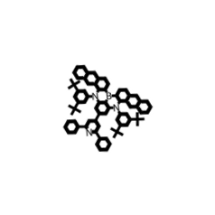 CC(C)(C)c1cc(N2c3cc(-c4cc(-c5ccccc5)nc(-c5ccccc5)c4)cc4c3B(c3ccc5cc6ccccc6cc5c32)c2ccc3cc5ccccc5cc3c2N4c2cc(C(C)(C)C)cc(C(C)(C)C)c2)cc(C(C)(C)C)c1